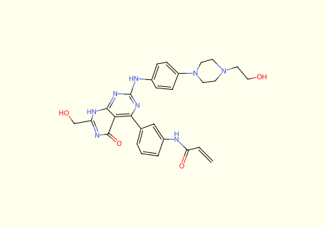 C=CC(=O)Nc1cccc(-c2nc(Nc3ccc(N4CCN(CCO)CC4)cc3)nc3[nH]c(CO)nc(=O)c23)c1